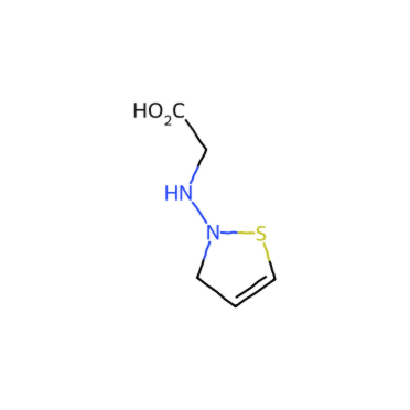 O=C(O)CNN1CC=CS1